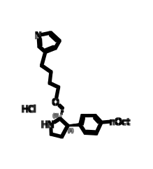 CCCCCCCCc1ccc([C@H]2CCN[C@@H]2COCCCCc2cccnc2)cc1.Cl